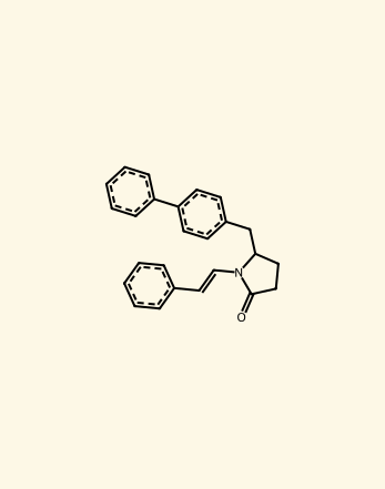 O=C1CCC(Cc2ccc(-c3ccccc3)cc2)N1C=Cc1ccccc1